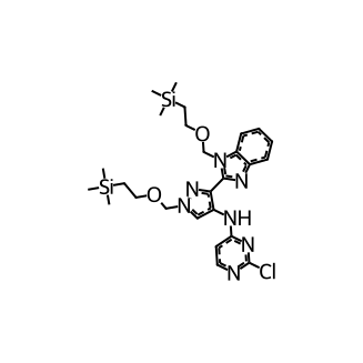 C[Si](C)(C)CCOCn1cc(Nc2ccnc(Cl)n2)c(-c2nc3ccccc3n2COCC[Si](C)(C)C)n1